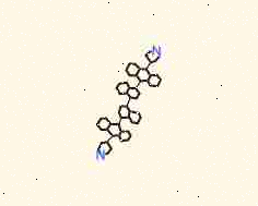 c1ccc2c(-c3c4ccccc4c(-c4ccncc4)c4ccccc34)ccc(-c3ccc(-c4c5ccccc5c(-c5ccncc5)c5ccccc45)c4ccccc34)c2c1